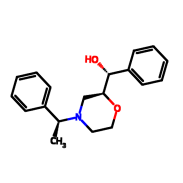 C[C@@H](c1ccccc1)N1CCO[C@H]([C@H](O)c2ccccc2)C1